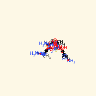 C[n+]1cc(-c2ccc(OC[C@H](O/N=C(/C(=O)N[C@@H]3C(=O)N(OS(=O)(=O)ON4C(=O)[C@@H](NC(=O)/C(=N/O[C@@H](COc5ccc(-c6cn(CCCNCCN)[n+](C)c6)cc5)C(=O)O)c5csc(N)n5)C4(C)C)C3(C)C)c3csc(N)n3)C(=O)O)cc2)cn1CCCNCCN